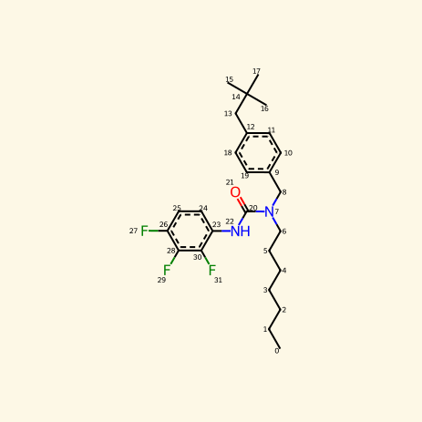 CCCCCCCN(Cc1ccc(CC(C)(C)C)cc1)C(=O)Nc1ccc(F)c(F)c1F